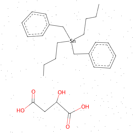 CCC[CH2][Sn]([CH2]CCC)([CH2]c1ccccc1)[CH2]c1ccccc1.O=C(O)CC(O)C(=O)O